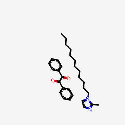 CCCCCCCCCCCCn1ccnc1C.O=C(C(=O)c1ccccc1)c1ccccc1